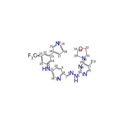 Fc1cnc(N/N=C/c2ccc(Nc3cc(-c4cccnc4)cc(C(F)(F)F)c3)cn2)nc1N1CCOCC1